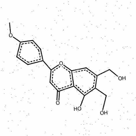 COc1ccc(-c2cc(=O)c3c(O)c(CO)c(CO)cc3o2)cc1